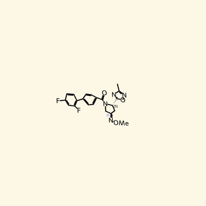 CO/N=C1\C[C@@H](c2nc(C)no2)N(C(=O)c2ccc(-c3ccc(F)cc3F)cc2)C1